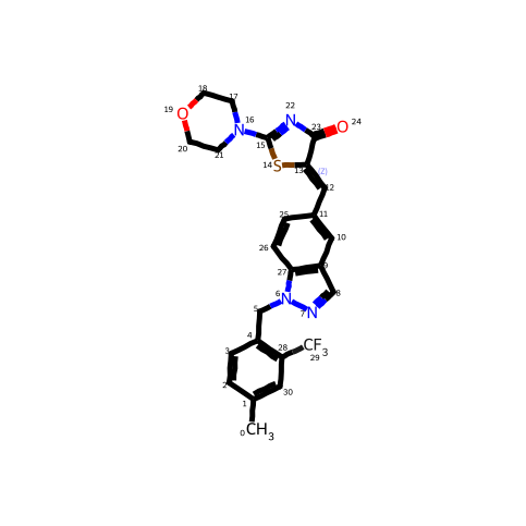 Cc1ccc(Cn2ncc3cc(/C=C4\SC(N5CCOCC5)=NC4=O)ccc32)c(C(F)(F)F)c1